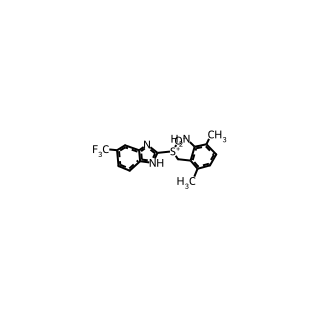 Cc1ccc(C)c(C[S+]([O-])c2nc3cc(C(F)(F)F)ccc3[nH]2)c1N